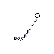 CCOC(=O)/C=C/C=C/CCCCCC1CCCC1